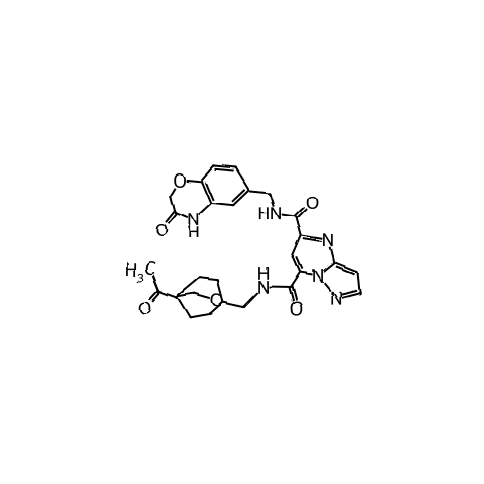 CC(=O)C12CCC(CNC(=O)c3cc(C(=O)NCc4ccc5c(c4)NC(=O)CO5)nc4ccnn34)(CC1)CC2